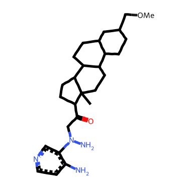 COCC1CCC2C(CCC3C2CCC2(C)C(C(=O)CN(N)c4cnccc4N)CCC32)C1